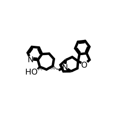 O[C@@H]1C[C@@H](CN2C3CCC2CC2(C3)OCc3ccccc32)CCc2cccnc21